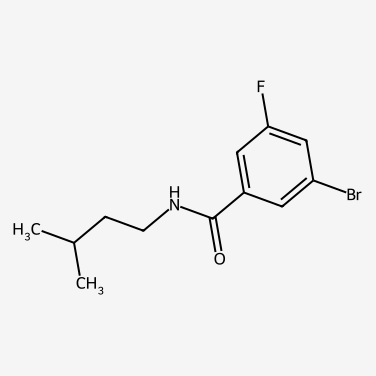 CC(C)CCNC(=O)c1cc(F)cc(Br)c1